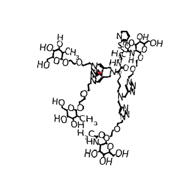 CC(=O)NC1C(OCCOCCn2cc(CN(CCCC[C@H](C(=O)NCCSSc3ccccn3)N(Cc3cn(CCOCCOC4OC(CO)C(O)C(O)C4C)nn3)Cc3cn(CCOCCOC4OC(CO)C(O)C(O)C4C)nn3)Cc3cn(CCOCCOC4OC(CO)C(O)C(O)C4NC(C)=O)nn3)nn2)OC(CO)C(O)C1O